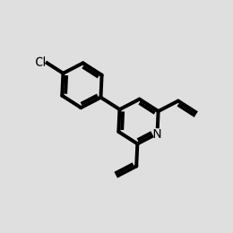 C=Cc1cc(-c2ccc(Cl)cc2)cc(C=C)n1